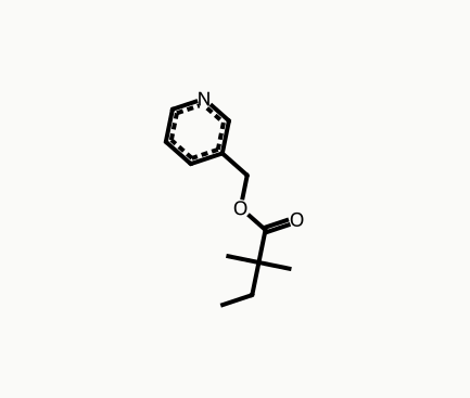 CCC(C)(C)C(=O)OCc1cccnc1